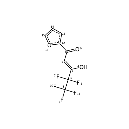 O=C(/C=C(\O)C(F)(F)C(F)(F)F)c1ccco1